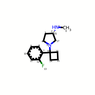 CN[C@H]1CCN(C2(c3ccccc3F)CCC2)C1